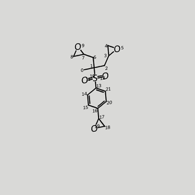 CC(CC1CO1)(CC1CO1)S(=O)(=O)c1ccc(C2CO2)cc1